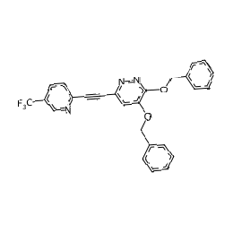 FC(F)(F)c1ccc(C#Cc2cc(OCc3ccccc3)c(OCc3ccccc3)nn2)nc1